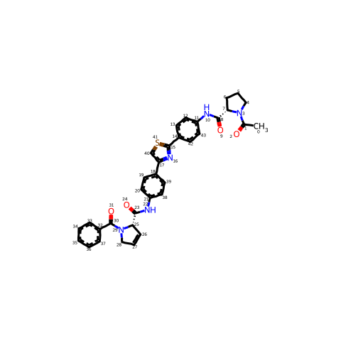 CC(=O)N1CCC[C@H]1C(=O)Nc1ccc(-c2nc(-c3ccc(NC(=O)[C@@H]4C=CCN4C(=O)c4ccccc4)cc3)cs2)cc1